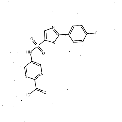 O=C(O)c1ncc(NS(=O)(=O)c2cnc(-c3ccc(F)cc3)s2)cn1